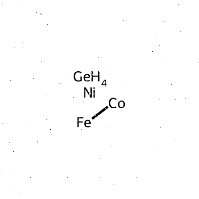 [Fe][Co].[GeH4].[Ni]